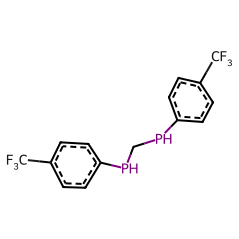 FC(F)(F)c1ccc(PCPc2ccc(C(F)(F)F)cc2)cc1